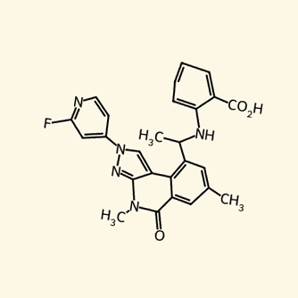 Cc1cc(C(C)Nc2ccccc2C(=O)O)c2c(c1)c(=O)n(C)c1nn(-c3ccnc(F)c3)cc21